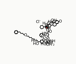 C[C@]12C=CC(=O)C=C1CCC1C2[C@@H](O)C[C@@]2(C)C1C[C@@H]1O[C@@H](C3CCCCC3)O[C@]12C(=O)COC(=O)C(CCCNC(=N)N)NC(=O)c1cccc[n+]1Cc1cc(C(O)CNCCCCCCOCCCCc2ccccc2)ccc1OP(=O)(O)O.[Cl-]